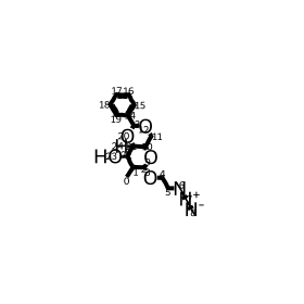 CC1[C@H](OCCN=[N+]=[N-])OC2COC(c3ccccc3)O[C@H]2[C@@H]1O